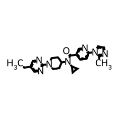 CCc1cnc(N2CCC(N(C(=O)c3ccc(-n4ccnc4C)nc3)C3CC3)CC2)nc1